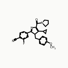 COc1ccc(CC2C(c3ccc(C#N)c(F)c3)=NC(C(=O)N3CCCC3)=C2C2CC2)cc1